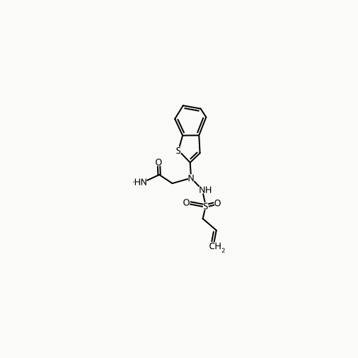 C=CCS(=O)(=O)NN(CC([NH])=O)c1cc2ccccc2s1